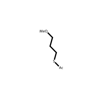 COCCCSC(C)=O